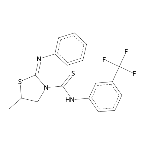 CC1CN(C(=S)Nc2cccc(C(F)(F)F)c2)/C(=N\c2ccccc2)S1